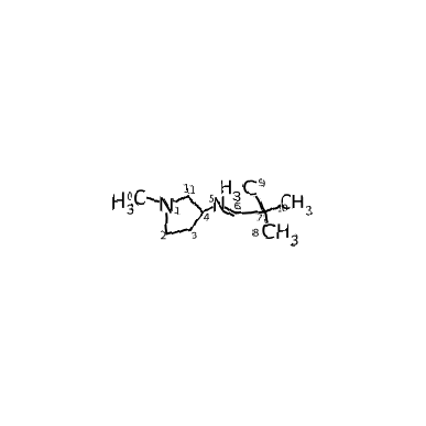 CN1CCC(N=CC(C)(C)C)C1